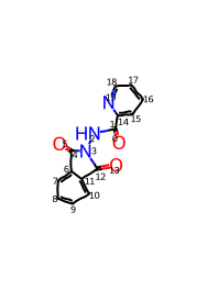 O=C(NN1C(=O)c2ccccc2C1=O)c1ccccn1